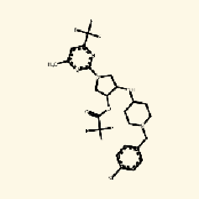 Cc1cc(C(F)(F)F)nc(N2CC(NC3CCN(Cc4ccc(Cl)cc4)CC3)C(OC(=O)C(F)(F)F)C2)n1